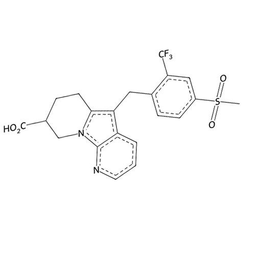 CS(=O)(=O)c1ccc(Cc2c3n(c4ncccc24)CC(C(=O)O)CC3)c(C(F)(F)F)c1